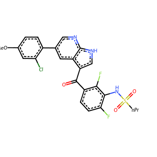 CCCS(=O)(=O)Nc1c(F)ccc(C(=O)c2c[nH]c3ncc(-c4ccc(OC)cc4Cl)cc23)c1F